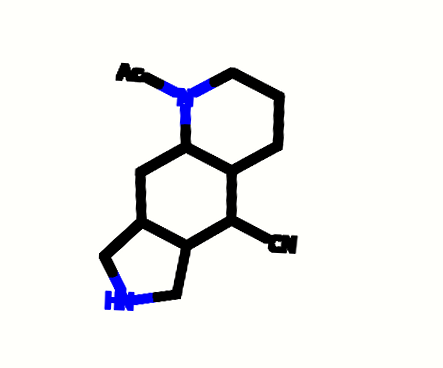 CC(=O)N1CCCC2C(C#N)C3CNCC3CC21